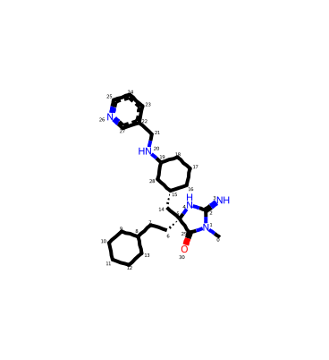 CN1C(=N)N[C@](CCC2CCCCC2)(C[C@H]2CCCC(NCc3cccnc3)C2)C1=O